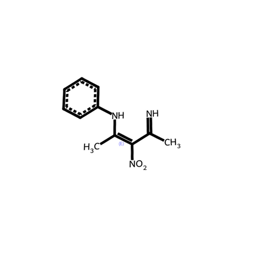 CC(=N)/C(=C(/C)Nc1ccccc1)[N+](=O)[O-]